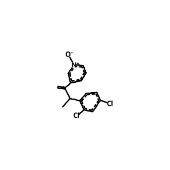 C=C(c1ccc[n+]([O-])c1)C(C)c1ccc(Cl)cc1Cl